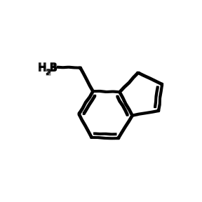 BCc1cccc2c1CC=C2